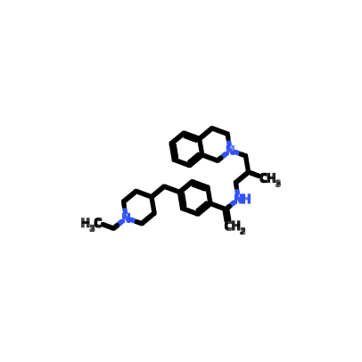 C=C(NCC(C)CN1CCc2ccccc2C1)c1ccc(CC2CCN(CC)CC2)cc1